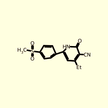 CCc1cc(-c2ccc(S(C)(=O)=O)cc2)[nH]c(=O)c1C#N